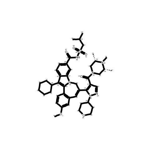 COc1ccc2c(c1)C=C(c1c(C(=O)N3C[C@@H](C)N(C)[C@@H](C)C3)cnn1C1CCOCC1)Cn1c-2c(C2CCCCC2)c2ccc(C(=O)NS(=O)(=O)CC(C)C)cc21